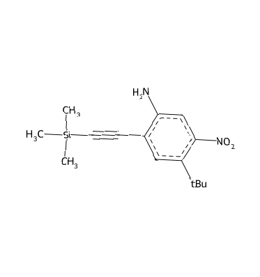 CC(C)(C)c1cc(C#C[Si](C)(C)C)c(N)cc1[N+](=O)[O-]